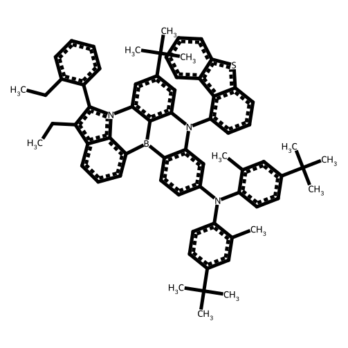 CCc1ccccc1-c1c(CC)c2cccc3c2n1-c1cc(C(C)(C)C)cc2c1B3c1ccc(N(c3ccc(C(C)(C)C)cc3C)c3ccc(C(C)(C)C)cc3C)cc1N2c1cccc2sc3ccccc3c12